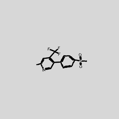 Cc1cc(C(F)(F)F)c(-c2ccc(S(C)(=O)=O)cc2)cn1